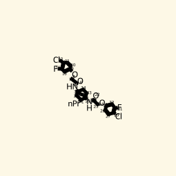 CCCC1CC2(NC(=O)COc3ccc(Cl)c(F)c3)CCC1(NC(=O)COc1ccc(Cl)c(F)c1)CC2